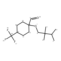 CC(C)C(C)(C)COC1(C=O)CCC(C(F)(F)F)CC1